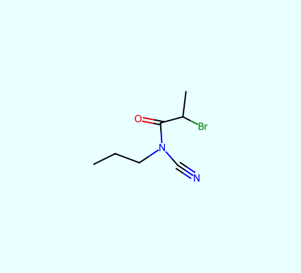 CCCN(C#N)C(=O)C(C)Br